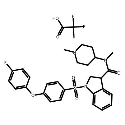 CN1CCC(N(C)C(=O)C2CN(S(=O)(=O)c3ccc(Oc4ccc(F)cc4)cc3)c3ccccc32)CC1.O=C(O)C(F)(F)F